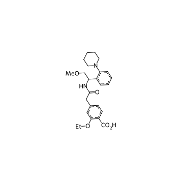 CCOc1cc(CC(=O)NC(COC)c2ccccc2N2CCCCC2)ccc1C(=O)O